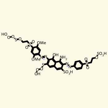 COc1cc(S(=O)(=O)CCOSOOO)c(OC)cc1/N=N/c1c(SOOO)cc2cc(S(=O)(=O)O)c(/N=N/c3ccc(S(=O)(=O)CCOS(=O)(=O)O)cc3)c(N)c2c1O